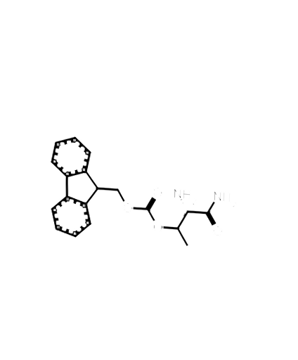 CC(OC(=O)OCC1c2ccccc2-c2ccccc21)[C@H](N)C(N)=O